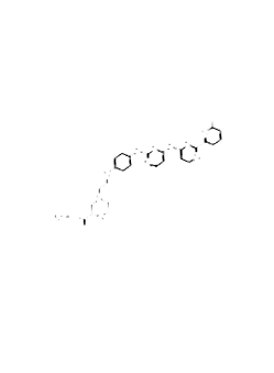 COC(=O)C1CN(CCNc2ccc(Nc3nccc(Nc4ccnc(-c5cccc(C)n5)n4)n3)cc2)CCN1